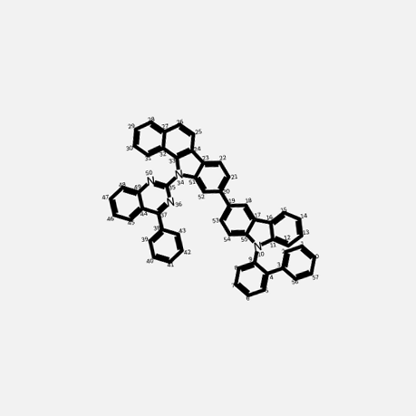 c1ccc(-c2ccccc2-n2c3ccccc3c3cc(-c4ccc5c6ccc7ccccc7c6n(-c6nc(-c7ccccc7)c7ccccc7n6)c5c4)ccc32)cc1